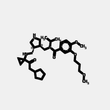 COCCCOc1cc(C(=O)N(C[C@@H]2CNC[C@H]2CNC2(C(=O)CC3CCCC3)CC2)C(C)C)ccc1OC